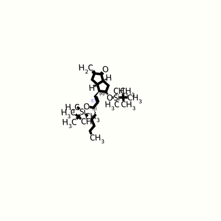 C=C1C[C@H]2[C@H](/C=C/[C@H](CCCCC)O[Si](C)(C)C(C)(C)C)[C@H](O[Si](C)(C)C(C)(C)C)C[C@@H]2C1=O